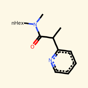 CCCCCCN(C)C(=O)C(C)c1ccccn1